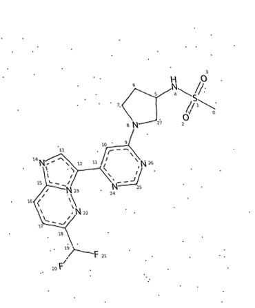 CS(=O)(=O)NC1CCN(c2cc(-c3cnc4ccc(C(F)F)nn34)ncn2)C1